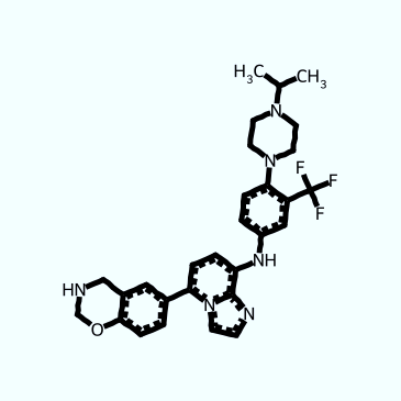 CC(C)N1CCN(c2ccc(Nc3ccc(-c4ccc5c(c4)CNCO5)n4ccnc34)cc2C(F)(F)F)CC1